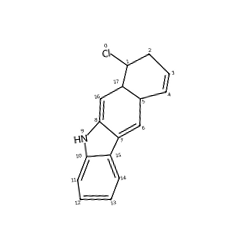 ClC1CC=CC2C=c3c([nH]c4ccccc34)=CC21